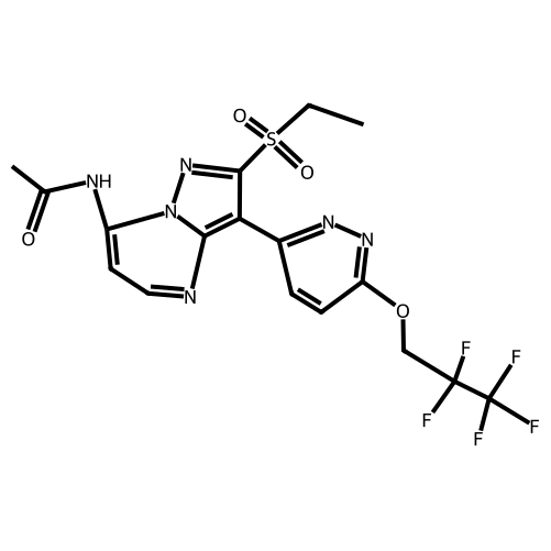 CCS(=O)(=O)c1nn2c(NC(C)=O)ccnc2c1-c1ccc(OCC(F)(F)C(F)(F)F)nn1